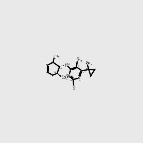 CCOC(=O)[C@H]1CC=CC(C)[C@@H]1Nc1nc(Cl)nc(C2(C)CC2)c1P